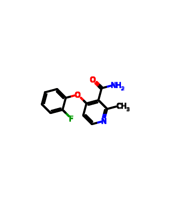 Cc1nccc(Oc2ccccc2F)c1C(N)=O